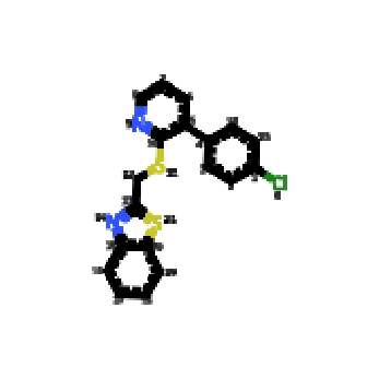 Clc1ccc(-c2cccnc2SCc2nc3ccccc3s2)cc1